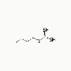 CCCCSP(S)S